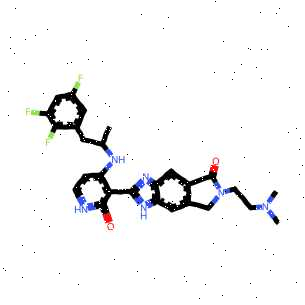 CC(Cc1cc(F)cc(F)c1F)Nc1cc[nH]c(=O)c1-c1nc2cc3c(cc2[nH]1)CN(CCN(C)C)C3=O